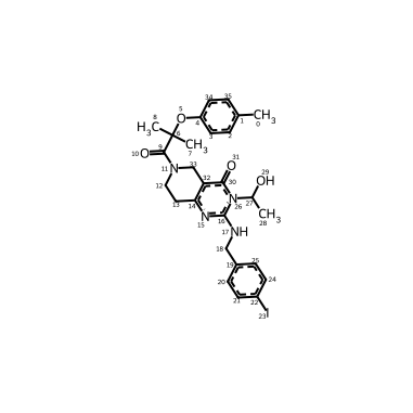 Cc1ccc(OC(C)(C)C(=O)N2CCc3nc(NCc4ccc(I)cc4)n(C(C)O)c(=O)c3C2)cc1